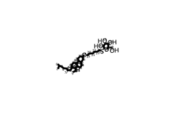 CC(C)CCC[C@@H](C)[C@H]1CC[C@H]2[C@@H]3CC=C4CC(OCCCCCCS[C@@H]5O[C@H](CO)[C@@H](O)[C@H](O)[C@@H]5O)CC[C@]4(C)[C@H]3CC[C@]12C